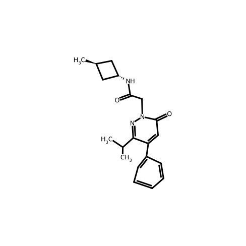 CC(C)c1nn(CC(=O)N[C@H]2C[C@H](C)C2)c(=O)cc1-c1ccccc1